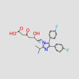 CC(C)c1nc(-c2ccc(F)cc2)c(-c2ccc(F)cc2)n1/C=C/C(O)CC(=O)CC(=O)O